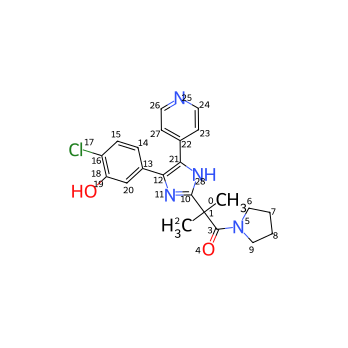 CC(C)(C(=O)N1CCCC1)c1nc(-c2ccc(Cl)c(O)c2)c(-c2ccncc2)[nH]1